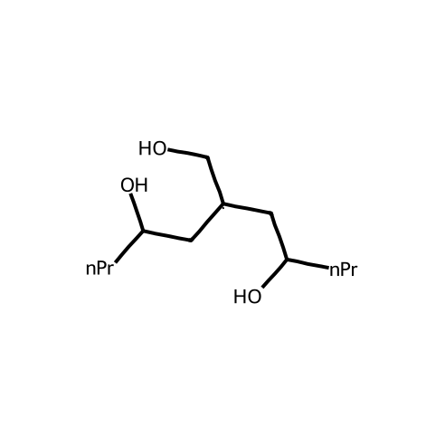 CCCC(O)C[C](CO)CC(O)CCC